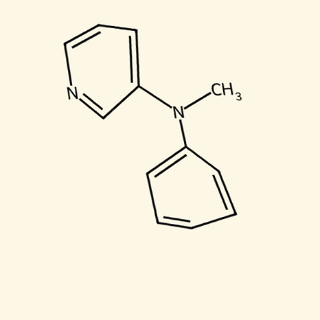 CN(c1ccccc1)c1cccnc1